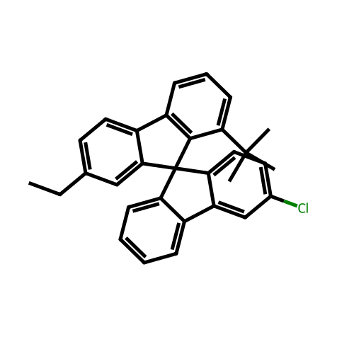 CCc1ccc2c(c1)C1(c3ccccc3-c3cc(Cl)ccc31)c1c-2cccc1C(C)(C)C